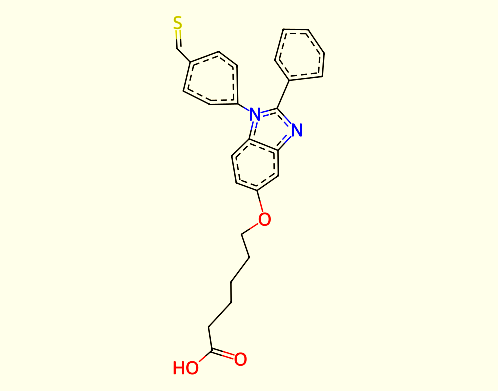 O=C(O)CCCCCOc1ccc2c(c1)nc(-c1ccccc1)n2-c1ccc(C=S)cc1